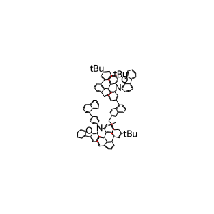 CC(C)(C)c1cc(-c2cccc3cccc(-c4ccccc4N(c4cccc(-c5cccc6cc(CC(C)(C)c7cc(-c8cccc9cccc(-c%10ccccc%10N(c%10ccc(-c%11cccc%12ccccc%11%12)cc%10)c%10cccc%11c%10oc%10ccccc%10%11)c89)cc(C(C)(C)C)c7)ccc56)c4)c4cccc5c4oc4ccccc45)c23)cc(C(C)(C)C)c1